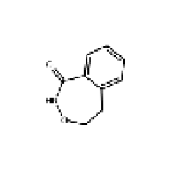 O=C1NOCCc2ccccc21